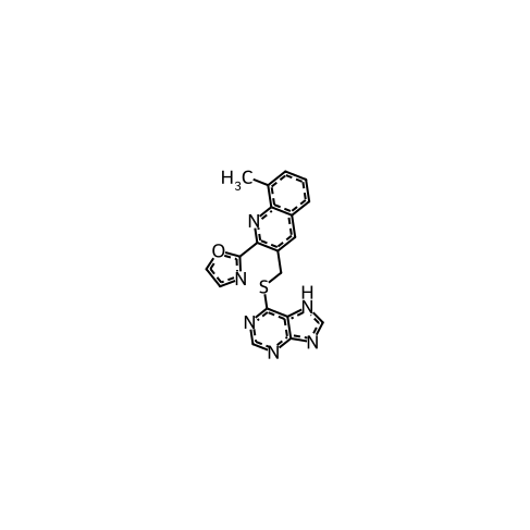 Cc1cccc2cc(CSc3ncnc4nc[nH]c34)c(-c3ncco3)nc12